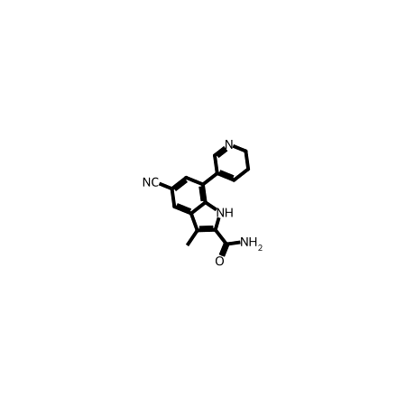 Cc1c(C(N)=O)[nH]c2c(C3=CCCN=C3)cc(C#N)cc12